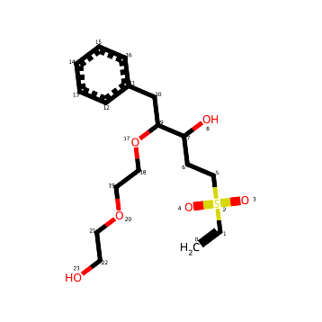 C=CS(=O)(=O)CCC(O)C(Cc1ccccc1)OCCOCCO